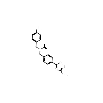 CCCCCCCCc1noc(-c2ccc(CN(Cc3ccc(C(F)(F)F)cc3)C(=O)C(=O)O)cc2)n1